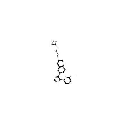 Cc1cccc(-c2[nH]cnc2-c2ccc3ncc(NCCNC4CNC4)cc3c2)n1